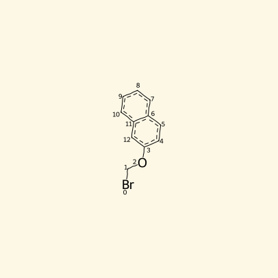 BrCOc1ccc2ccccc2c1